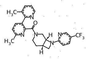 Cc1ccc(-c2ncccc2C)c(C(=O)N2CC[C@H]3CN(c4ccc(C(F)(F)F)cn4)[C@H]3C2)n1